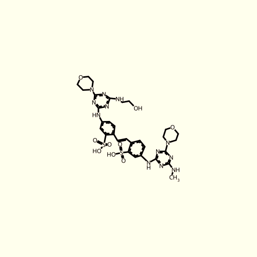 CNc1nc(Nc2ccc(/C=C/c3ccc(Nc4nc(NCCO)nc(N5CCOCC5)n4)cc3S(=O)(=O)O)c(S(=O)(=O)O)c2)nc(N2CCOCC2)n1